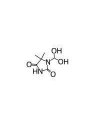 CC1(C)C(=O)NC(=O)N1C(O)O